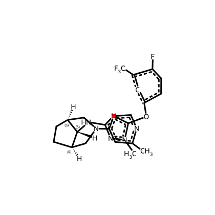 Cc1cc(N2C[C@H]3CC[C@@H](C2)[C@@H]3Nc2nc(Oc3ccc(F)c(C(F)(F)F)c3)n(C)n2)ncn1